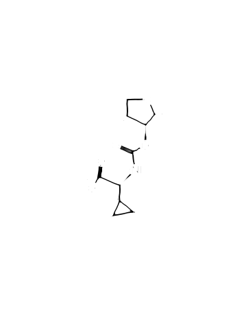 O=C(N[C@H](C(=O)O)C1CC1)O[C@H]1CCOC1